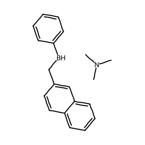 B(Cc1ccc2ccccc2c1)c1ccccc1.CN(C)C